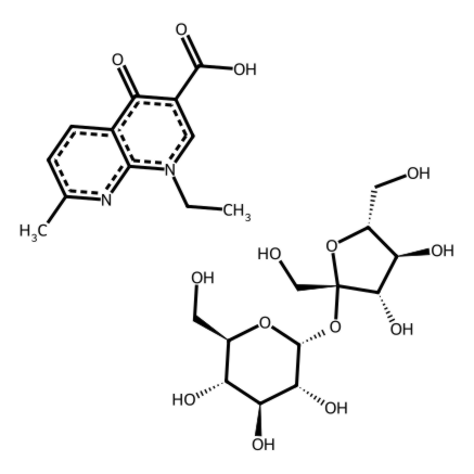 CCn1cc(C(=O)O)c(=O)c2ccc(C)nc21.OC[C@H]1O[C@@](CO)(O[C@H]2O[C@H](CO)[C@@H](O)[C@H](O)[C@H]2O)[C@@H](O)[C@@H]1O